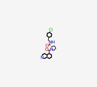 O=C(NCc1ccc(Cl)cc1)[C@@H]1CCCN1C(=O)c1cccc2cnccc12